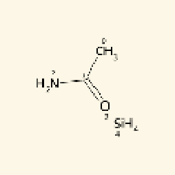 CC(N)=O.[SiH4]